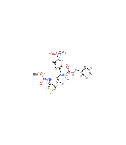 COC(=O)c1ccc([C@@H]2C=C(c3cscc3NC(=O)OC(C)(C)C)CCN2C(=O)OCc2ccccc2)cc1